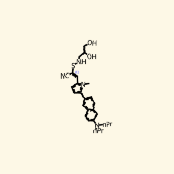 CCCN(CCC)c1ccc2cc(-c3ccc(/C=C(\C#N)SNCC(O)CO)n3C)ccc2c1